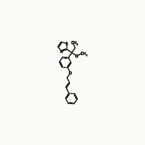 CCC(OC)(c1cccc(OCC=Cc2ccccc2)c1)c1nccs1